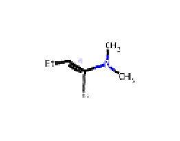 CC/C=C(\CC)N(C)C